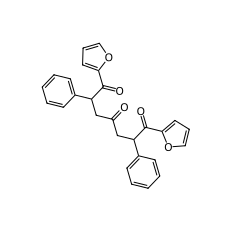 O=C(CC(C(=O)c1ccco1)c1ccccc1)CC(C(=O)c1ccco1)c1ccccc1